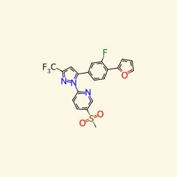 CS(=O)(=O)c1ccc(-n2nc(C(F)(F)F)cc2-c2ccc(-c3ccco3)c(F)c2)nc1